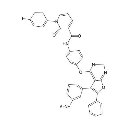 CC(=O)Nc1cccc(-c2c(-c3ccccc3)oc3ncnc(Oc4ccc(NC(=O)c5cccn(-c6ccc(F)cc6)c5=O)cc4)c23)c1